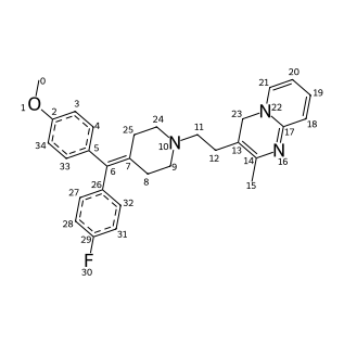 COc1ccc(C(=C2CCN(CCC3=C(C)N=C4C=CC=CN4C3)CC2)c2ccc(F)cc2)cc1